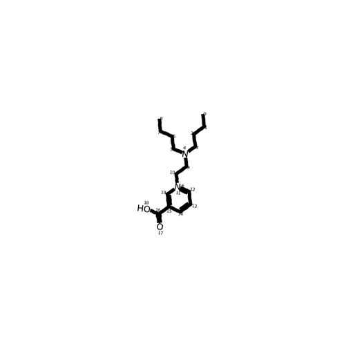 CCCCN(CCCC)CC[n+]1cccc(C(=O)O)c1